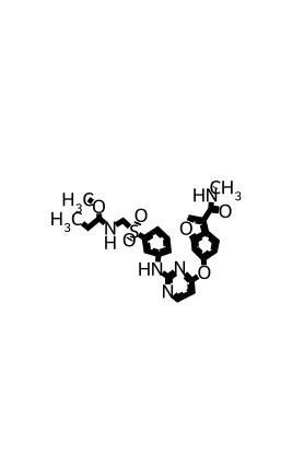 CCC(NCS(=O)(=O)c1cccc(Nc2nccc(Oc3ccc4c(C(=O)NC)coc4c3)n2)c1)OC